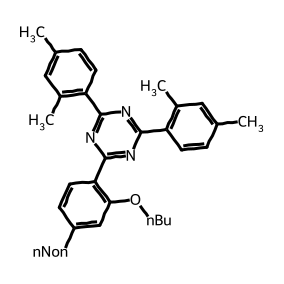 CCCCCCCCCc1ccc(-c2nc(-c3ccc(C)cc3C)nc(-c3ccc(C)cc3C)n2)c(OCCCC)c1